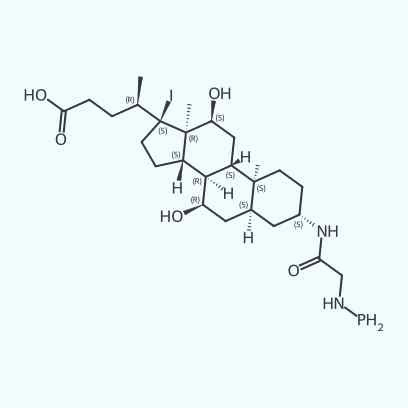 C[C@H](CCC(=O)O)[C@@]1(I)CC[C@H]2[C@@H]3[C@H](O)C[C@@H]4C[C@@H](NC(=O)CNP)CC[C@]4(C)[C@H]3C[C@H](O)[C@@]21C